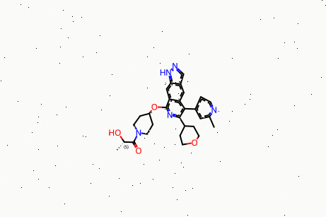 Cc1cc(-c2c(C3CCOCC3)nc(OC3CCN(C(=O)[C@H](C)O)CC3)c3cc4[nH]ncc4cc23)ccn1